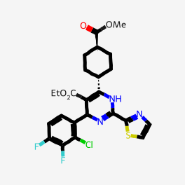 CCOC(=O)C1=C([C@H]2CC[C@H](C(=O)OC)CC2)NC(c2nccs2)=NC1c1ccc(F)c(F)c1Cl